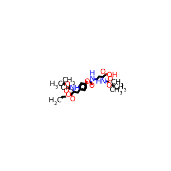 C=CCOC(=O)C(Cc1ccc(OC(=O)NCCC(NC(=O)OC(C)(C)C)C(=O)O)cc1)NC(=O)OC(C)(C)C